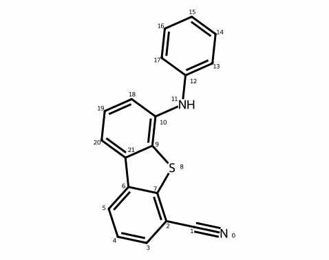 N#Cc1cccc2c1sc1c(Nc3ccccc3)cccc12